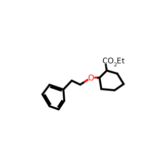 CCOC(=O)C1CCCCC1OCCc1ccccc1